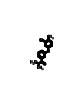 Cc1ccc(Oc2cccc(C(=O)N(C)C)c2)cc1Cl